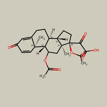 CC(=O)OC1C[C@@]2(C)[C@@H](CC[C@]2(OC(C)=O)C(=O)C(=O)O)[C@@H]2CCC3=CC(=O)C=C[C@]3(C)[C@@H]12